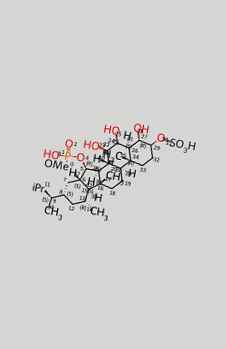 COP(=O)(O)O[C@@H]1[C@H]2C[C@@H]([C@@H](C)C(C)C)C[C@@H](C)[C@@H]2[C@@]2(C)CC[C@H]3[C@@H]([C@@H](O)[C@@H](O)[C@H]4[C@@H](O)C(OS(=O)(=O)O)CC[C@@]43C)[C@H]12